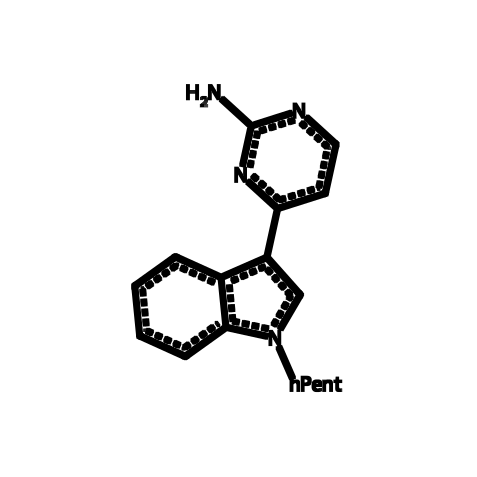 CCCCCn1cc(-c2ccnc(N)n2)c2ccccc21